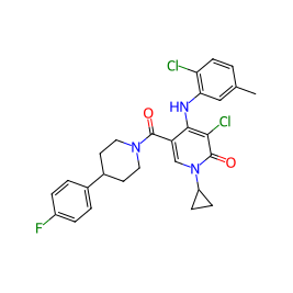 Cc1ccc(Cl)c(Nc2c(C(=O)N3CCC(c4ccc(F)cc4)CC3)cn(C3CC3)c(=O)c2Cl)c1